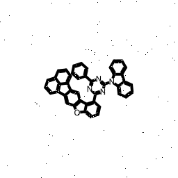 c1ccc(-c2nc(-c3cccc4oc5cc6c(cc5c34)-c3cccc4cccc-6c34)nc(-n3c4ccccc4c4ccccc43)n2)cc1